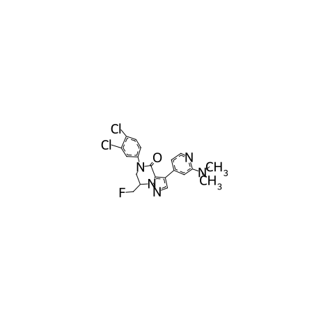 CN(C)c1cc(-c2cnn3c2C(=O)N(c2ccc(Cl)c(Cl)c2)CC3CF)ccn1